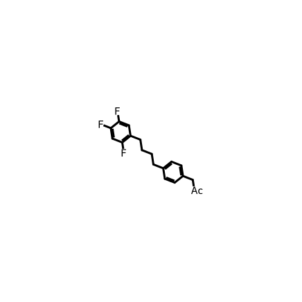 CC(=O)Cc1ccc(CCCCc2cc(F)c(F)cc2F)cc1